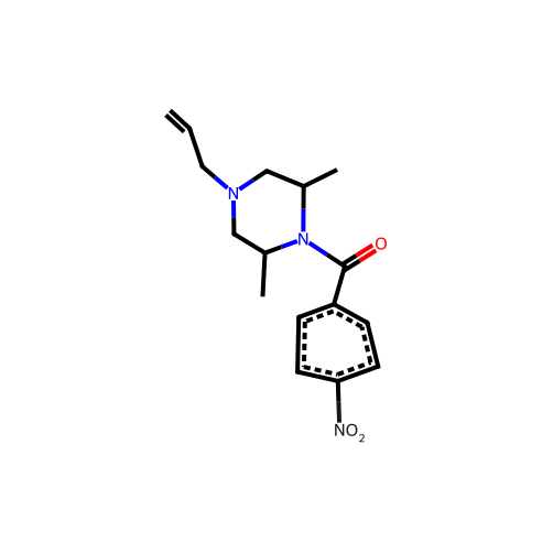 C=CCN1CC(C)N(C(=O)c2ccc([N+](=O)[O-])cc2)C(C)C1